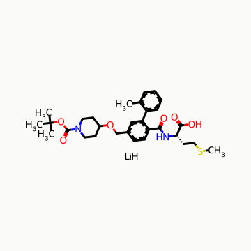 CSCC[C@H](NC(=O)c1ccc(COC2CCN(C(=O)OC(C)(C)C)CC2)cc1-c1ccccc1C)C(=O)O.[LiH]